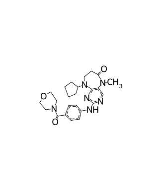 CN1C(=O)CCN(C2CCCC2)c2nc(Nc3ccc(C(=O)N4CCOCC4)cc3)ncc21